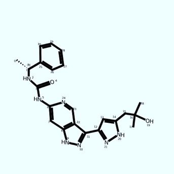 C[C@@H](NC(=O)Nc1cc2[nH]nc(-c3cc(CC(C)(C)O)[nH]n3)c2cn1)c1ccccc1